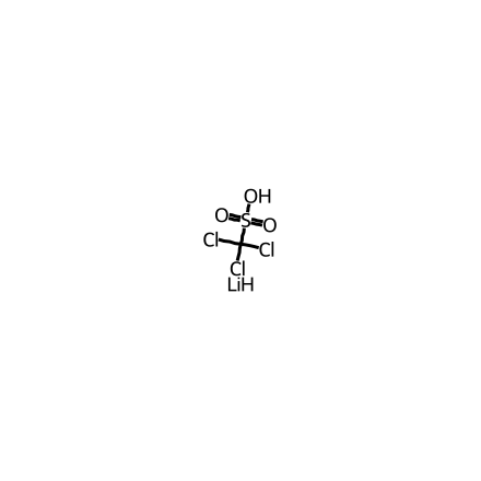 O=S(=O)(O)C(Cl)(Cl)Cl.[LiH]